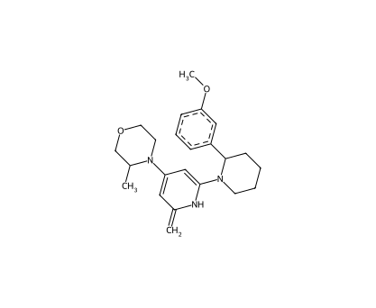 C=C1C=C(N2CCOCC2C)C=C(N2CCCCC2c2cccc(OC)c2)N1